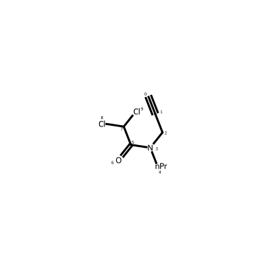 C#CCN(CCC)C(=O)C(Cl)Cl